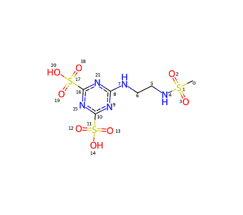 CS(=O)(=O)NCCNc1nc(S(=O)(=O)O)nc(S(=O)(=O)O)n1